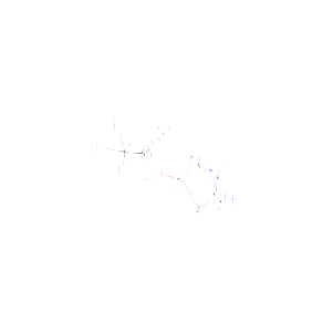 O=C(Oc1c[nH]nn1)C(F)(F)F